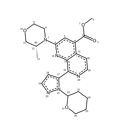 COC(=O)c1cc(N2CCOC[C@H]2C)nc2c(-c3ccnn3C3CCCCO3)nccc12